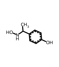 CC(NO)c1ccc(O)cc1